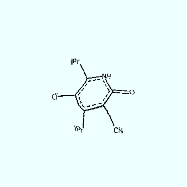 CC(C)c1[nH]c(=O)c(C#N)c(C(C)C)c1Cl